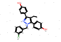 CCc1c(-c2ccc(O)cc2)nn(Cc2cccc(Cl)c2)c1-c1ccc(O)cc1